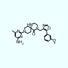 COc1cccc(-c2ocnc2CN2CCNC3(CCN(c4nc(C)cc(N)n4)CC3)C2=O)c1